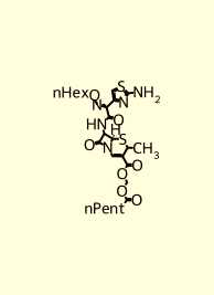 CCCCCCON=C(C(=O)NC1C(=O)N2C=C(C(=O)OCOC(=O)CCCCC)C(C)S[C@H]12)c1csc(N)n1